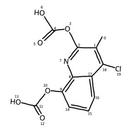 Cc1c(OC(=O)O)nc2c(OC(=O)O)cccc2c1Cl